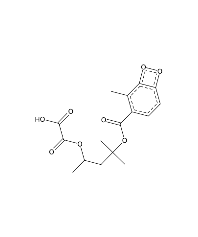 Cc1c(C(=O)OC(C)(C)CC(C)OC(=O)C(=O)O)ccc2ooc12